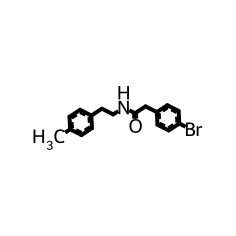 Cc1ccc(CCNC(=O)Cc2ccc(Br)cc2)cc1